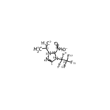 CC(C)N1N=CN(C(F)(F)C(F)(F)F)C1[N+](=O)[O-]